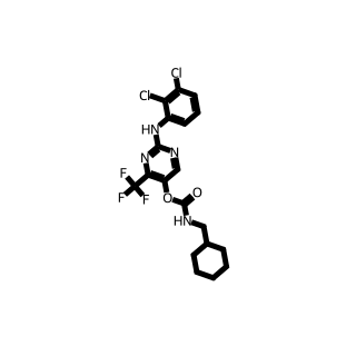 O=C(NCC1CCCCC1)Oc1cnc(Nc2cccc(Cl)c2Cl)nc1C(F)(F)F